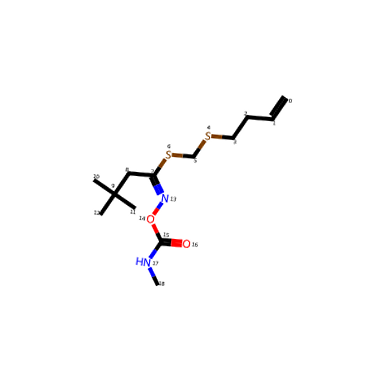 C=CCCSCSC(CC(C)(C)C)=NOC(=O)NC